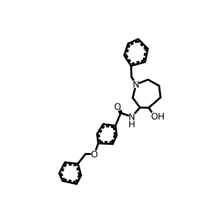 O=C(NC1CN(Cc2ccccc2)CCCC1O)c1ccc(OCc2ccccc2)cc1